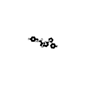 O=C(NCc1ccc(F)cc1)c1cnc2ccc(N3CCC[C@@H]3c3cccc(F)c3)nn12